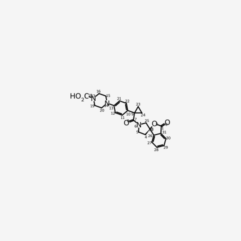 O=C1O[C@]2(CCN(C(=O)C3(c4ccc(N5CCN(C(=O)O)CC5)cc4)CC3)C2)c2ccccc21